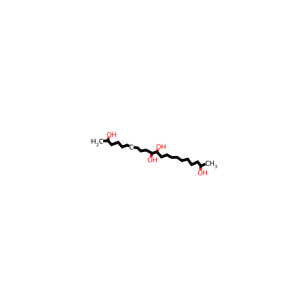 [CH2]C(O)CCCCCCCCC(O)C(O)CCCCCCCCC(C)O